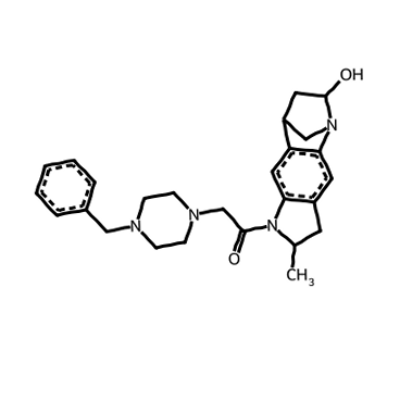 CC1Cc2cc3c(cc2N1C(=O)CN1CCN(Cc2ccccc2)CC1)C1CC(O)N3C1